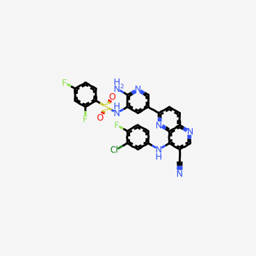 N#Cc1cnc2ccc(-c3cnc(N)c(NS(=O)(=O)c4ccc(F)cc4F)c3)nc2c1Nc1ccc(F)c(Cl)c1